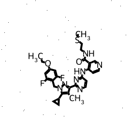 CCOc1cc(F)c(Cn2nc(-c3nccc(Nc4ccncc4C(=O)NCCSC)n3)c(C)c2C2CC2)c(F)c1